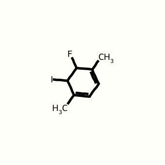 CC1=CC=C(C)C(I)C1F